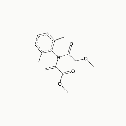 C=C(C(=O)OC)N(C(=O)COC)c1c(C)cccc1C